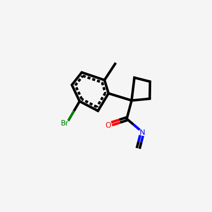 C=NC(=O)C1(c2cc(Br)ccc2C)CCC1